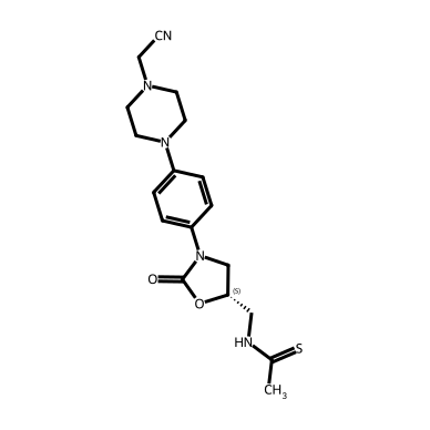 CC(=S)NC[C@H]1CN(c2ccc(N3CCN(CC#N)CC3)cc2)C(=O)O1